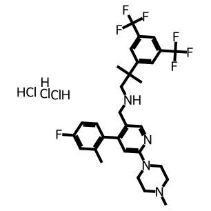 Cc1cc(F)ccc1-c1cc(N2CCN(C)CC2)ncc1CNCC(C)(C)c1cc(C(F)(F)F)cc(C(F)(F)F)c1.Cl.Cl.Cl